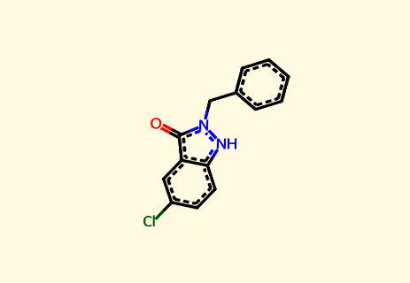 O=c1c2cc(Cl)ccc2[nH]n1Cc1ccccc1